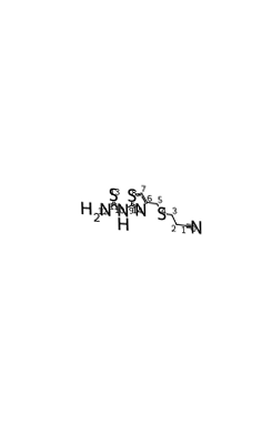 N#CCCSCc1csc(NC(N)=S)n1